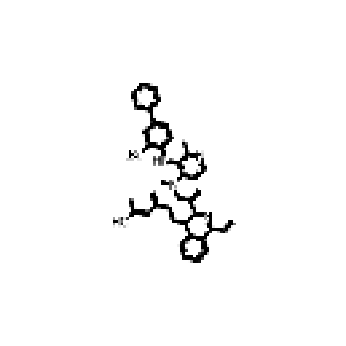 C=CC1=NC(C(=C)CN(C)c2ccnc(C)c2Nc2ccc(-c3ccccc3)cc2C(C)(C)C)C(CCC(=C)/C=C(\C)O)c2ccccc21